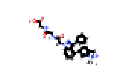 Cn1ncc2cc(F)c(-c3cccc4c3c(-c3ccccc3)nn4CC(=O)NCC(=O)NCC(=O)O)cc21